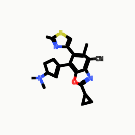 Cc1nc(-c2c(C)c(C#N)c3nc(C4CC4)oc3c2C2=CC(N(C)C)CC2)cs1